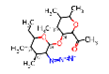 CCC1O[C@@H](O[C@@H]2C(C(C)=O)OC(C)C(C)[C@H]2C)C(N=[N+]=[N-])[C@@H](C)[C@@H]1C